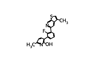 Cc1ccc(-c2cccc(-c3cc4c(C)csc4cn3)c2F)c(O)n1